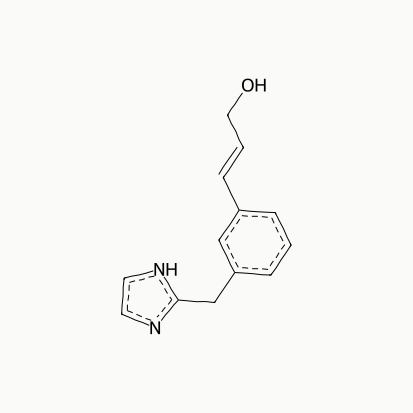 OCC=Cc1cccc(Cc2ncc[nH]2)c1